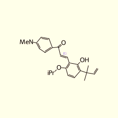 C=CC(C)(C)c1ccc(OC(C)C)c(/C=C/C(=O)c2ccc(NC)cc2)c1O